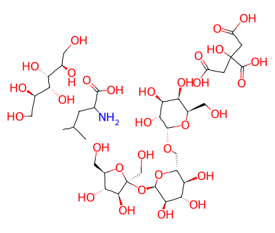 CC(C)CC(N)C(=O)O.O=C(O)CC(O)(CC(=O)O)C(=O)O.OC[C@@H](O)[C@@H](O)[C@H](O)[C@H](O)CO.OC[C@H]1O[C@H](OC[C@H]2O[C@H](O[C@]3(CO)O[C@H](CO)[C@@H](O)[C@@H]3O)[C@H](O)[C@@H](O)[C@@H]2O)[C@H](O)[C@@H](O)[C@H]1O